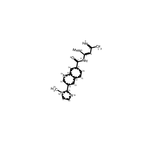 CN/C(=C\C(=N)C(F)(F)F)NC(=O)c1ccc2cc(-c3nccn3C)cnc2c1